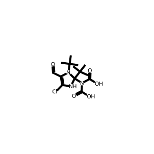 CC(C)(C)N1C(C=O)=C(Cl)NC1(N(C(=O)O)C(=O)O)C(C)(C)C